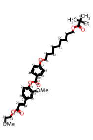 CCC(C)(C)C(=O)OCCCCCCCCCOc1ccc(C(=O)Oc2ccc(/C=C/C(=O)OCCOC)cc2OC)cc1